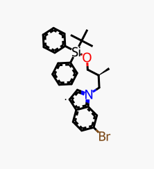 C[C@H](CO[Si](c1ccccc1)(c1ccccc1)C(C)(C)C)Cn1c[c]c2ccc(Br)cc21